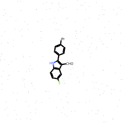 CC(C)c1ccc(-c2[nH]c3ccc(F)cc3c2C=O)cc1